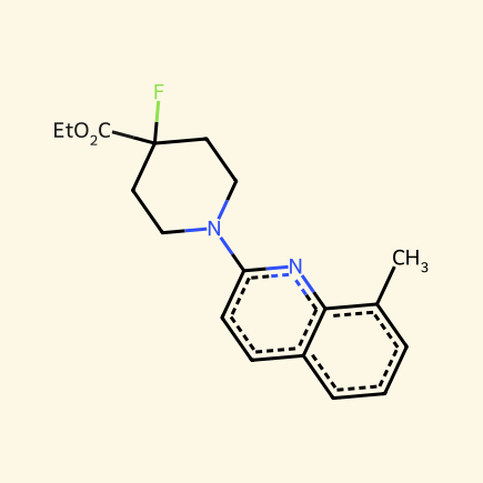 CCOC(=O)C1(F)CCN(c2ccc3cccc(C)c3n2)CC1